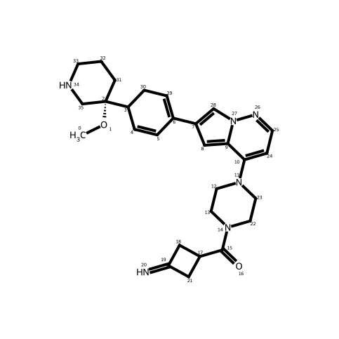 CO[C@@]1(C2C=CC(c3cc4c(N5CCN(C(=O)C6CC(=N)C6)CC5)ccnn4c3)=CC2)CCCNC1